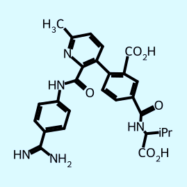 Cc1ccc(-c2ccc(C(=O)NC(C(=O)O)C(C)C)cc2C(=O)O)c(C(=O)Nc2ccc(C(=N)N)cc2)n1